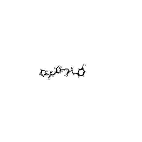 O=C(NCc1cccc(F)c1)Nc1nc(CS(=O)(=O)c2nncs2)cs1